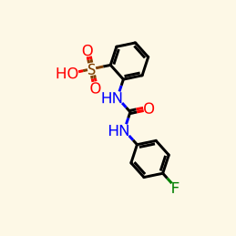 O=C(Nc1ccc(F)cc1)Nc1ccccc1S(=O)(=O)O